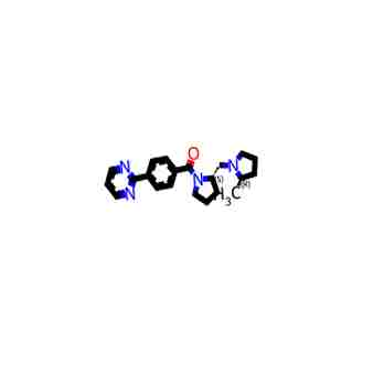 C[C@@H]1CCCN1C[C@@H]1CCCN1C(=O)c1ccc(-c2ncccn2)cc1